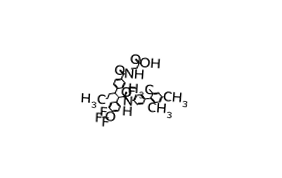 CCCC(c1ccc(C(=O)NCCC(=O)O)cc1)[C@@H](C(=O)Nc1ccc(-c2c(C)cc(C)cc2C)cc1F)c1ccc(OC(F)(F)F)cc1